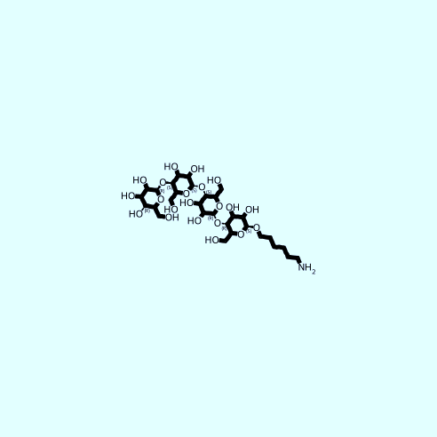 NCCCCCCO[C@H]1OC(CO)[C@H](O[C@H]2OC(CO)[C@@H](O[C@@H]3OC(CO)[C@@H](O[C@H]4OC(CO)[C@H](O)C(O)C4O)C(O)C3O)C(O)C2O)C(O)C1O